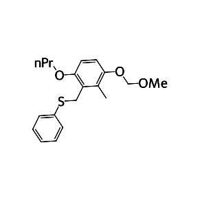 CCCOc1ccc(OCOC)c(C)c1CSc1ccccc1